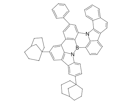 c1ccc(-c2cc3c4c(c2)-n2c5c(cccc5c5ccc6ccccc6c52)B4n2c4ccc(C56CCCC(CCC5)C6)cc4c4cc(C56CCCC(CCC5)C6)cc-3c42)cc1